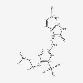 CC(CN(C)C)Nc1ccc(NC=C2C(=O)Nc3cc(F)ccc32)cc1C(F)(F)F